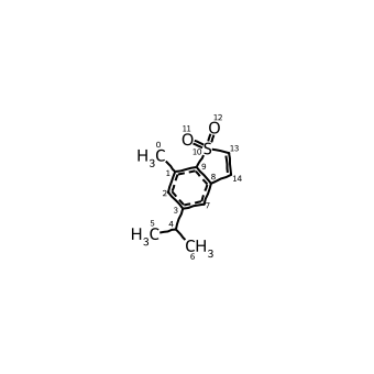 Cc1cc(C(C)C)cc2c1S(=O)(=O)C=C2